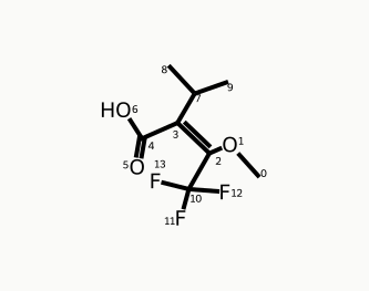 CO/C(=C(/C(=O)O)C(C)C)C(F)(F)F